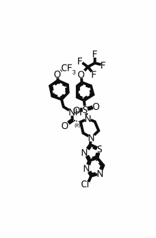 O=C(NCc1ccc(OC(F)(F)F)cc1)[C@H]1CN(c2nc3nc(Cl)ncc3s2)CCN1S(=O)(=O)c1ccc(OC(F)(F)C(F)F)cc1